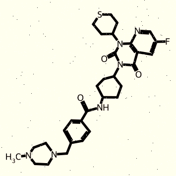 CN1CCN(Cc2ccc(C(=O)NC3CCC(n4c(=O)c5cc(F)cnc5n(C5CCSCC5)c4=O)CC3)cc2)CC1